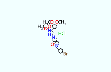 COC(=O)NC(CCN1CCC2(CC1)CCN(Cc1ccc(Br)cc1)C2=O)c1ccc(OC)c(OC)c1.Cl